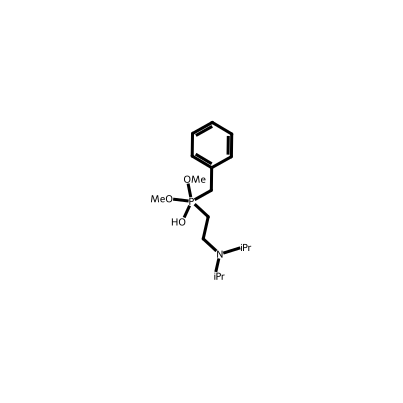 COP(O)(CCN(C(C)C)C(C)C)(Cc1ccccc1)OC